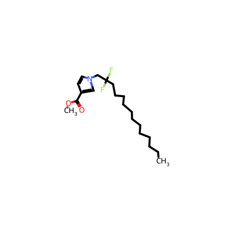 CCCCCCCCCCCCC(F)(F)Cn1ccc(C(=O)OC)c1